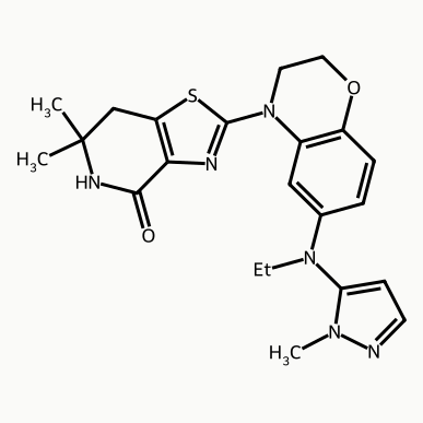 CCN(c1ccc2c(c1)N(c1nc3c(s1)CC(C)(C)NC3=O)CCO2)c1ccnn1C